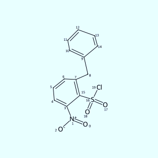 O=[N+]([O-])c1cccc(Cc2ccccc2)c1S(=O)(=O)Cl